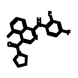 Cc1cccc2c(Nc3ccc(F)cc3F)ncc(C(=O)N3CCCC3)c12